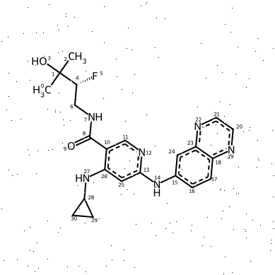 CC(C)(O)[C@H](F)CNC(=O)c1cnc(Nc2ccc3nccnc3c2)cc1NC1CC1